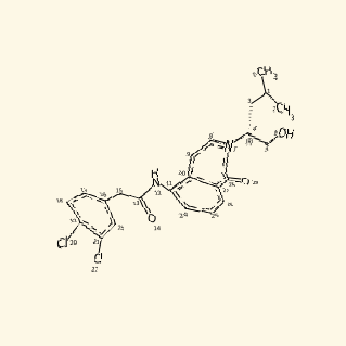 CC(C)C[C@H](CO)n1ccc2c(NC(=O)Cc3ccc(Cl)c(Cl)c3)cccc2c1=O